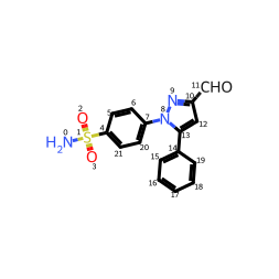 NS(=O)(=O)c1ccc(-n2nc(C=O)cc2-c2ccccc2)cc1